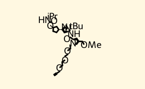 C#CCOCCOCCOCCn1cc(COC)cc1C(=O)Nc1cc([C@H]2CC[C@@H](OC(=O)NC(C)C)C2)nn1C(C)(C)C